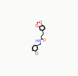 O=C(CCc1ccc2c(c1)OCO2)NCc1cccc(Cl)c1